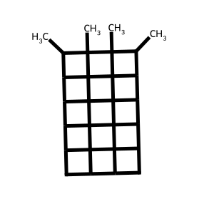 CC1C2C3C4C5CC6C7CC8C9C%10C%11C(C)C%12(C)C1(C)C21C%11%12C%102C9%10C78C65C4%10C312